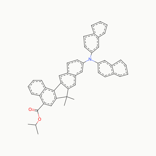 CC(C)OC(=O)c1cc2c(c3ccccc13)-c1cc3ccc(N(c4ccc5ccccc5c4)c4ccc5ccccc5c4)cc3cc1C2(C)C